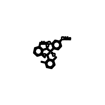 COc1ccc(P(=O)(C(=O)c2c(C)cccc2C)C(=O)c2c(C)cccc2C)c(OC)c1